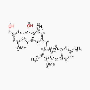 COc1cc(CO)ccc1Cc1cc(Cc2cc(C)c(OC)c(Cc3ccc(C)cc3OC)c2)cc(C)c1CO